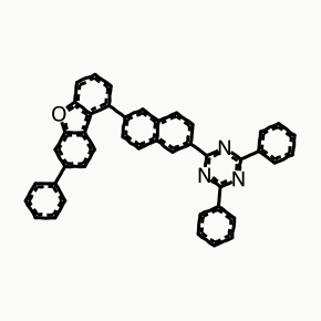 c1ccc(-c2ccc3c(c2)oc2cccc(-c4ccc5cc(-c6nc(-c7ccccc7)nc(-c7ccccc7)n6)ccc5c4)c23)cc1